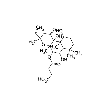 C=CC1(C)CC(=O)C2(O)C(C)(O1)C(OC(=O)CCC(=O)O)C(O)C1C(C)(C)CCC(O)C12C